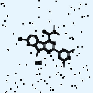 Cc1cc(-c2nc(C(=O)N(C)C)c3c4ccc(Cl)cc4n(C)c3n2)cc(C)n1.Cl